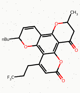 CCCCC1C=Cc2c3c(c4oc(=O)cc(CCC(F)(F)F)c4c2O1)C(=O)CC(C)O3